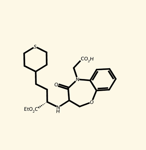 CCOC(=O)[C@H](CCC1CCSCC1)NC1COc2ccccc2N(CC(=O)O)C1=O